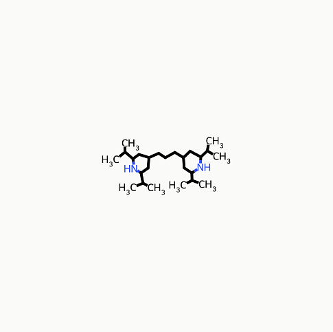 CC(C)C1CC(CCCC2CC(C(C)C)NC(C(C)C)C2)CC(C(C)C)N1